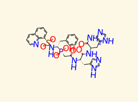 NC(=O)C(Cc1cnc[nH]1)NC(=O)[C@H](Cc1cnc[nH]1)NC(=O)CP(=O)(O)[C@@H](Cc1ccccc1)NS(=O)(=O)c1cccc2cccnc12